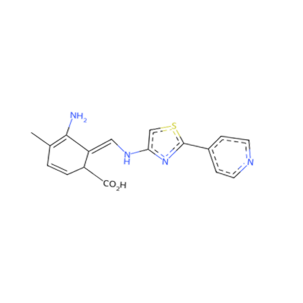 CC1=C(N)C(=CNc2csc(-c3ccncc3)n2)C(C(=O)O)C=C1